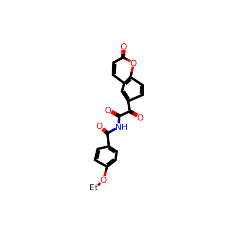 CCOc1ccc(C(=O)NC(=O)C(=O)c2ccc3oc(=O)ccc3c2)cc1